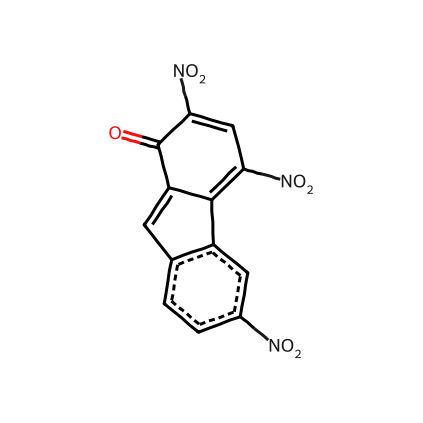 O=C1C2=Cc3ccc([N+](=O)[O-])cc3C2=C([N+](=O)[O-])C=C1[N+](=O)[O-]